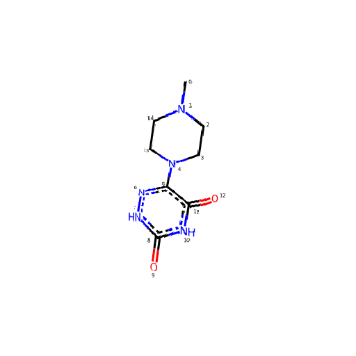 CN1CCN(c2n[nH]c(=O)[nH]c2=O)CC1